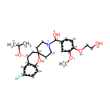 COc1cc(C(O)N2CCC3(CC2)C[C@@H](OC(C)C)c2cc(F)ccc2O3)ccc1OCCO